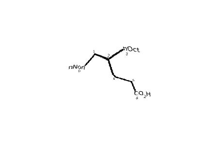 CCCCCCCCCCC(CCCCCCCC)CCC(=O)O